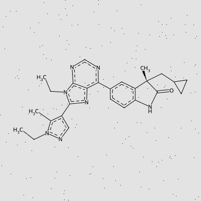 CCn1ncc(-c2nc3c(-c4ccc5c(c4)[C@](C)(CC4CC4)C(=O)N5)ncnc3n2CC)c1C